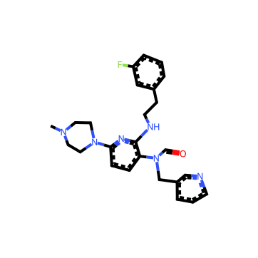 CN1CCN(c2ccc(N(C=O)Cc3cccnc3)c(NCCc3cccc(F)c3)n2)CC1